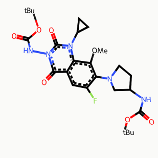 COc1c(N2CCC(NC(=O)OC(C)(C)C)C2)c(F)cc2c(=O)n(NC(=O)OC(C)(C)C)c(=O)n(C3CC3)c12